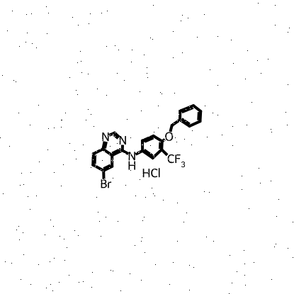 Cl.FC(F)(F)c1cc(Nc2ncnc3ccc(Br)cc23)ccc1OCc1ccccc1